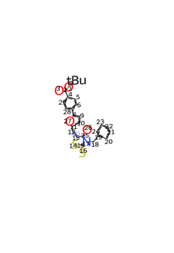 CC(C)(C)OC(=O)c1ccc(-c2ccc(/C=C3/SC(=S)N(Cc4ccccc4)C3=O)o2)cc1